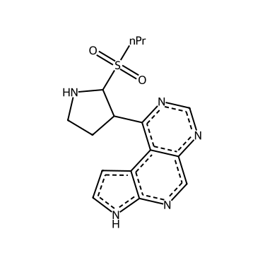 CCCS(=O)(=O)C1NCCC1c1ncnc2cnc3[nH]ccc3c12